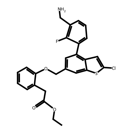 CCOC(=O)Cc1ccccc1OCc1cc(-c2cccc(CN)c2F)c2cc(Cl)sc2c1